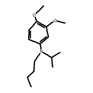 CCCCN(c1ccc(OC)c(OC)c1)C(C)C